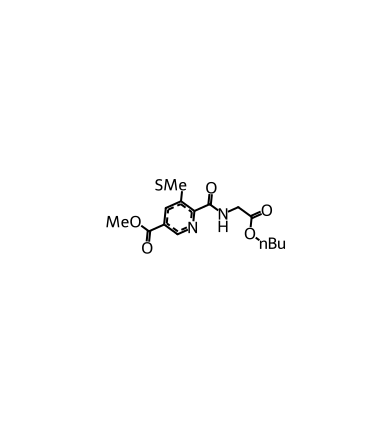 CCCCOC(=O)CNC(=O)c1ncc(C(=O)OC)cc1SC